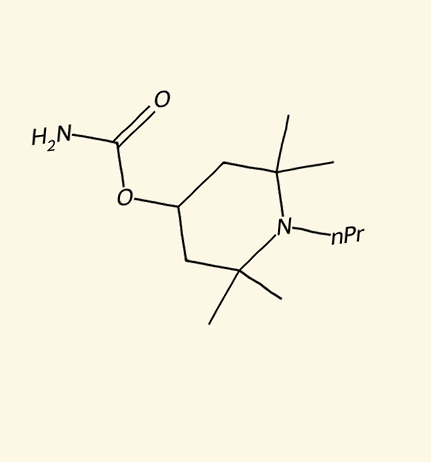 CCCN1C(C)(C)CC(OC(N)=O)CC1(C)C